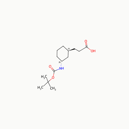 CC(C)(C)OC(=O)N[C@@H]1CCC[C@@H](CCC(=O)O)C1